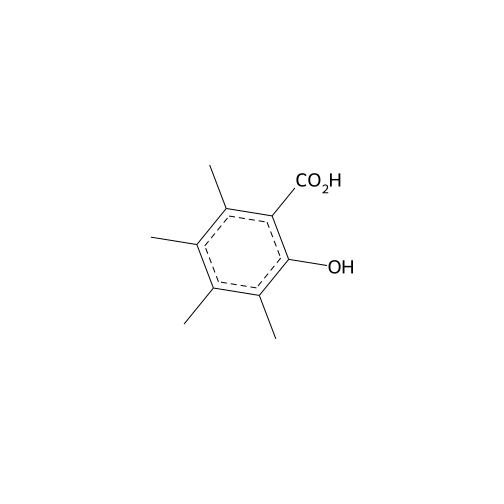 Cc1c(C)c(C)c(C(=O)O)c(O)c1C